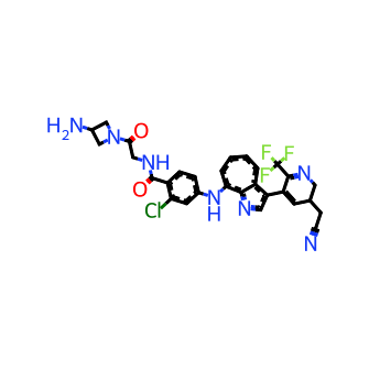 N#CCC1C=C(c2cnc3c(Nc4ccc(C(=O)NCC(=O)N5CC(N)C5)c(Cl)c4)ccccc2-3)C(C(F)(F)F)=NC1